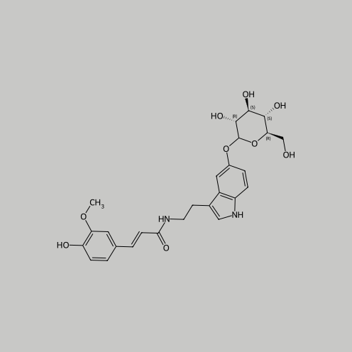 COc1cc(C=CC(=O)NCCc2c[nH]c3ccc(OC4O[C@H](CO)[C@@H](O)[C@H](O)[C@H]4O)cc23)ccc1O